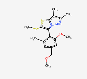 COCc1cc(C)c(-c2c(SC)sc3c(C)c(C)nn23)c(OC)c1